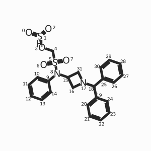 O=[SH](=O)OCS(=O)(=O)N(c1ccccc1)C1CN(C(c2ccccc2)c2ccccc2)C1